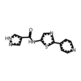 O=C(Nc1cnc(-c2ccncc2)s1)c1cn[nH]c1